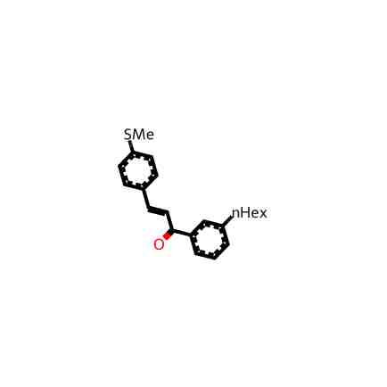 CCCCCCc1cccc(C(=O)C=Cc2ccc(SC)cc2)c1